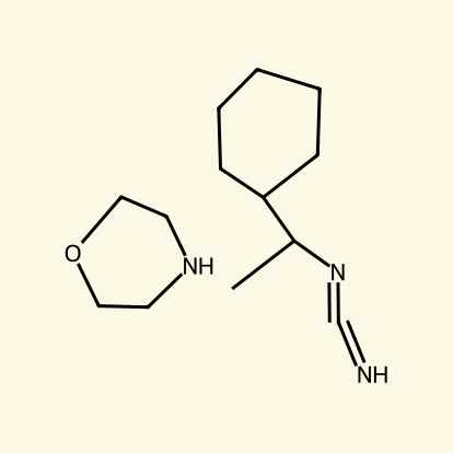 C1COCCN1.CC(N=C=N)C1CCCCC1